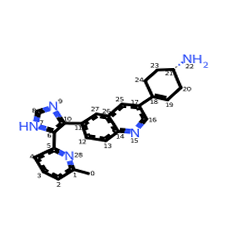 Cc1cccc(-c2[nH]cnc2-c2ccc3ncc(C4=CC[C@@H](N)CC4)cc3c2)n1